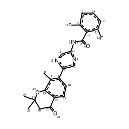 Cc1c(-c2cnc(NC(=O)c3c(F)cccc3F)cn2)ccc2c1OC(C)(C)CC2=O